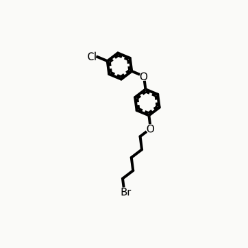 Clc1ccc(Oc2ccc(OCCCCCBr)cc2)cc1